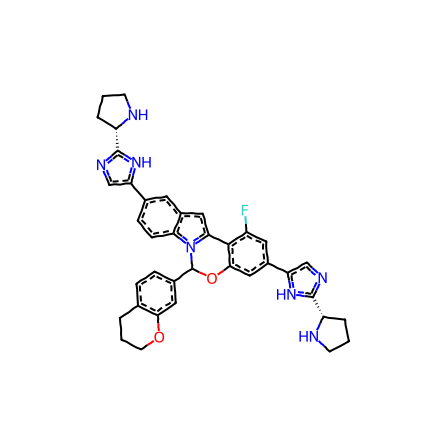 Fc1cc(-c2cnc([C@@H]3CCCN3)[nH]2)cc2c1-c1cc3cc(-c4cnc([C@@H]5CCCN5)[nH]4)ccc3n1C(c1ccc3c(c1)OCCC3)O2